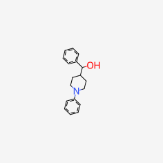 OC(c1ccccc1)C1CCN(c2ccccc2)CC1